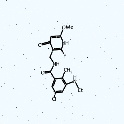 CCNc1cc(Cl)cc(C(=O)NCc2c(F)[nH]c(OC)cc2=O)c1C